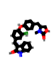 CN1C(=O)OCC1Cc1ccc(Oc2ccc(/C=C3/C(=O)Nc4ccccc43)cc2Cl)cc1